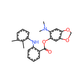 Cc1cccc(Nc2ccccc2C(=O)Oc2cc3c(cc2N(C)C)OCO3)c1C